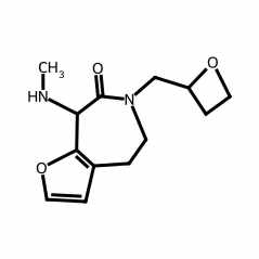 CNC1C(=O)N(CC2CCO2)CCc2ccoc21